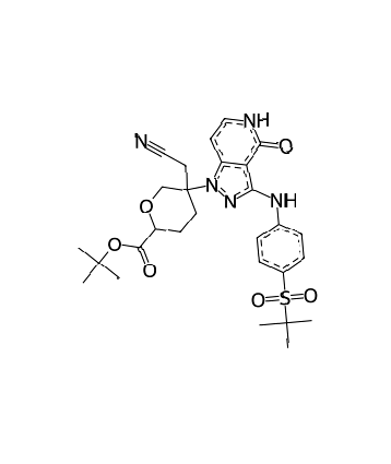 CC(C)(C)OC(=O)C1CCC(CC#N)(n2nc(Nc3ccc(S(=O)(=O)C(C)(C)C)cc3)c3c(=O)[nH]ccc32)CO1